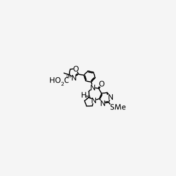 CSc1ncc2c(n1)N1CCC[C@H]1CN(c1cccc(C3=N[C@](C)(C(=O)O)CO3)c1)C2=O